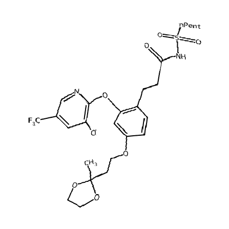 CCCCCS(=O)(=O)NC(=O)CCc1ccc(OCCC2(C)OCCO2)cc1Oc1ncc(C(F)(F)F)cc1Cl